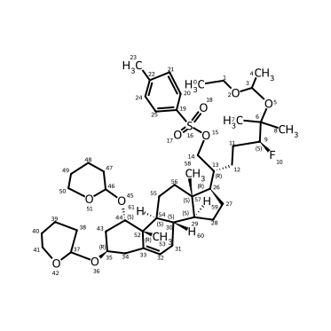 CCOC(C)OC(C)(C)[C@@H](F)CC[C@@H](COS(=O)(=O)c1ccc(C)cc1)[C@H]1CC[C@H]2[C@@H]3CC=C4C[C@@H](OC5CCCCO5)C[C@H](OC5CCCCO5)[C@]4(C)[C@H]3CC[C@]12C